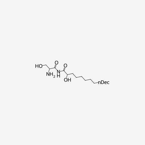 CCCCCCCCCCCCCCCCC(O)C(=O)NC(=O)C(N)CO